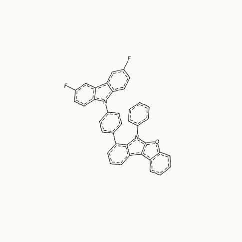 Fc1ccc2c(c1)c1cc(F)ccc1n2-c1ccc(-c2cccc3c4c5ccccc5oc4n(-c4ccccc4)c23)cc1